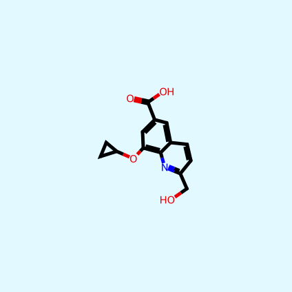 O=C(O)c1cc(OC2CC2)c2nc(CO)ccc2c1